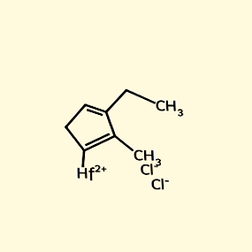 CCC1=CC[C]([Hf+2])=C1C.[Cl-].[Cl-]